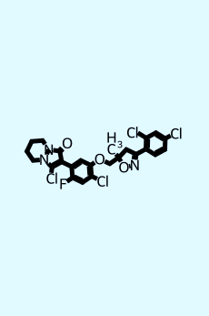 CC1(COc2cc(-c3c(Cl)n4n(c3=O)CCCC4)c(F)cc2Cl)CC(c2ccc(Cl)cc2Cl)=NO1